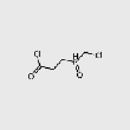 O=C(Cl)CC[PH](=O)CCl